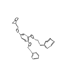 c1ccc(CCCOc2cc(OCC3CO3)ccc2OCc2ccccc2)cc1